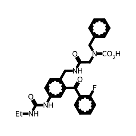 CCNC(=O)Nc1ccc(CNC(=O)CN(Cc2ccccc2)C(=O)O)c(C(=O)c2ccccc2F)c1